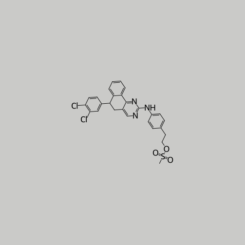 CS(=O)(=O)OCCc1ccc(Nc2ncc3c(n2)-c2ccccc2C(c2ccc(Cl)c(Cl)c2)C3)cc1